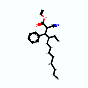 C=COC(=O)C(C#N)C(c1ccccc1)C(CC)CCCCCCCC